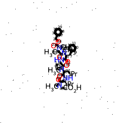 CC(C)C[C@H](NC(=O)[C@H](Cc1ccccc1)N(C)C(=O)[C@H](C)N(C)C(=O)OCc1ccccc1)C(=O)N(C)[C@@H](CC(C)C)C(=O)N[C@H](C(=O)N(C)CC(=O)O)C(C)C